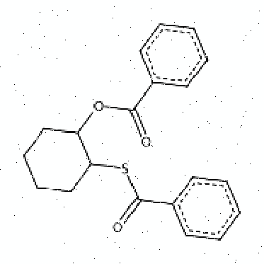 O=C(OC1CCCCC1SC(=O)c1ccccc1)c1ccccc1